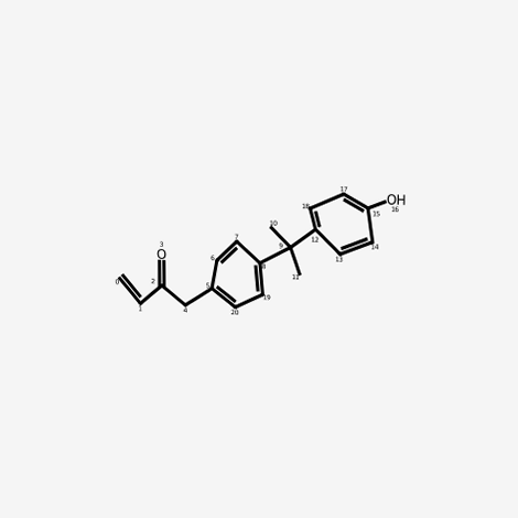 C=CC(=O)Cc1ccc(C(C)(C)c2ccc(O)cc2)cc1